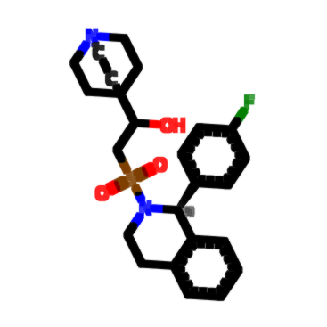 O=S(=O)(CC(O)C12CCN(CC1)CC2)N1CCc2ccccc2[C@@H]1c1ccc(F)cc1